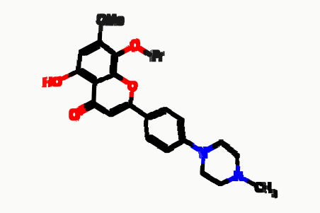 COc1cc(O)c2c(=O)cc(-c3ccc(N4CCN(C)CC4)cc3)oc2c1OC(C)C